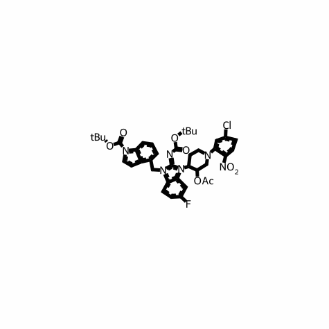 CC(=O)OC1CN(c2cc(Cl)ccc2[N+](=O)[O-])CCC1n1/c(=N\C(=O)OC(C)(C)C)n(Cc2cccc3c2ccn3C(=O)OC(C)(C)C)c2ccc(F)cc21